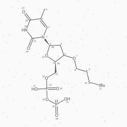 Cc1cn([C@H]2CC(OCSSC(C)(C)C)[C@@H](COP(=O)(O)O[PH](=O)O)O2)c(=O)[nH]c1=O